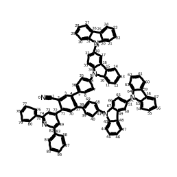 N#Cc1cc(-c2ccc(-n3c4ccccc4c4cc(-n5c6ccccc6c6ccccc65)ccc43)cc2)c(-c2ccc(-n3c4ccccc4c4cc(-n5c6ccccc6c6ccccc65)ccc43)cc2)cc1-c1cc(-c2ccccc2)nc(-c2ccccc2)c1